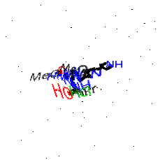 CCC[C@@H](CCO)Nc1nc(NC(=O)OC)nc2cnn(Cc3cnc(C4CCNCC4)cc3OC)c12.Cl